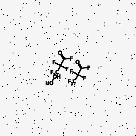 O=C(F)C(F)(F)C(F)(F)F.O=C(F)C(F)(F)C(F)(F)F.OO